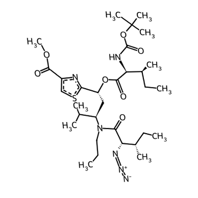 CCCN(C(=O)[C@@H](N=[N+]=[N-])[C@@H](C)CC)[C@H](C[C@@H](OC(=O)[C@@H](NC(=O)OC(C)(C)C)[C@@H](C)CC)c1nc(C(=O)OC)cs1)C(C)C